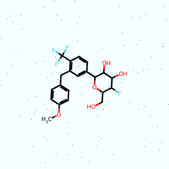 COc1ccc(Cc2cc(C3OC(CO)C(F)C(O)C3O)ccc2C(F)(F)F)cc1